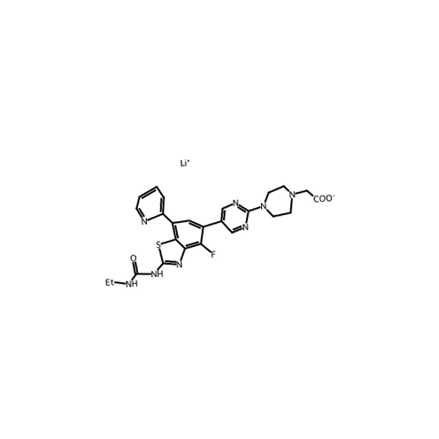 CCNC(=O)Nc1nc2c(F)c(-c3cnc(N4CCN(CC(=O)[O-])CC4)nc3)cc(-c3ccccn3)c2s1.[Li+]